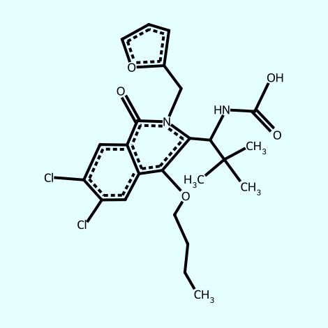 CCCCOc1c(C(NC(=O)O)C(C)(C)C)n(Cc2ccco2)c(=O)c2cc(Cl)c(Cl)cc12